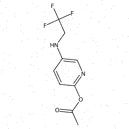 CC(=O)Oc1ccc(NCC(F)(F)F)cn1